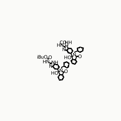 CC(C)COC(=O)Nc1nc2cc(C3(O)c4ccccc4C(=O)N3Cc3ccccc3)ccc2[nH]1.O=C(O)Nc1nc2cc(C3(O)c4ccccc4C(=O)N3Cc3ccccc3)ccc2[nH]1